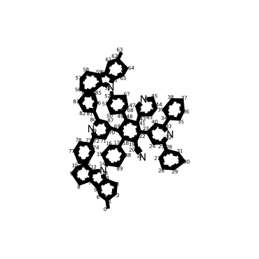 Cc1ccc2c(c1)c1ccccc1n2-c1ccc(-c2c(C#N)c(-c3cc(-c4ccccc4)nc(-c4ccccc4)c3)c(-c3cccnc3)c(-c3ccc(-n4c5ccccc5c5cc(C)ccc54)cc3)c2-c2cc(-c3ccccc3)nc(-c3ccccc3)c2)cc1